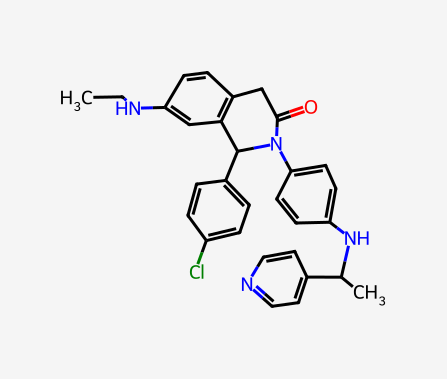 CCNc1ccc2c(c1)C(c1ccc(Cl)cc1)N(c1ccc(NC(C)c3ccncc3)cc1)C(=O)C2